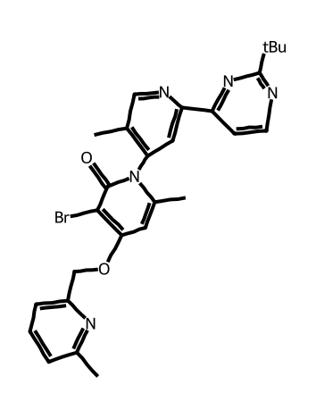 Cc1cccc(COc2cc(C)n(-c3cc(-c4ccnc(C(C)(C)C)n4)ncc3C)c(=O)c2Br)n1